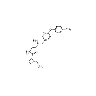 CCC1CCC1C(=O)C1(CCC(=N)Cc2ccc(Oc3ccc(C)cc3)nc2)CC1